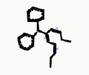 CC\C=C/C=C(\C=C/CC)N(c1ccccc1)c1ccccc1